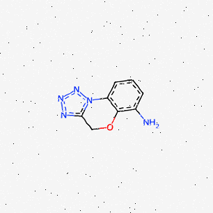 Nc1cccc2c1OCc1nnnn1-2